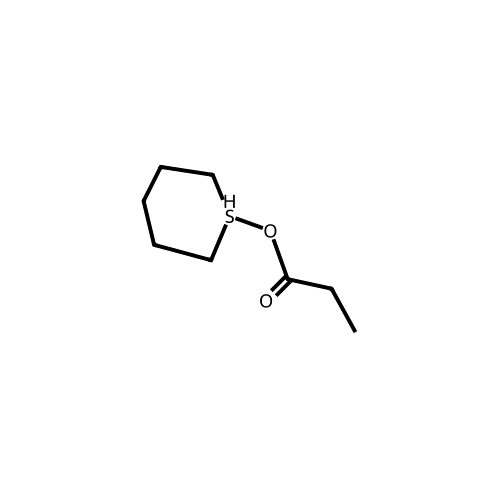 CCC(=O)O[SH]1CCCCC1